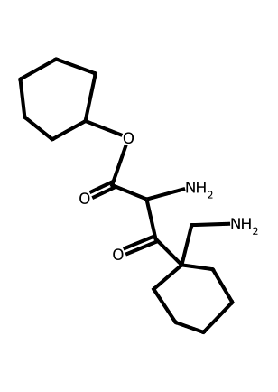 NCC1(C(=O)C(N)C(=O)OC2CCCCC2)CCCCC1